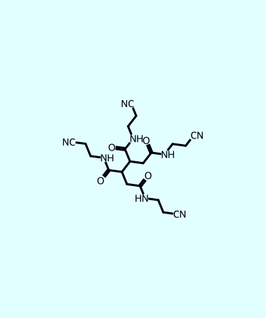 N#CCCNC(=O)CC(C(=O)NCCC#N)C(CC(=O)NCCC#N)C(=O)NCCC#N